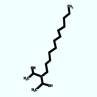 CCCCCCCCCCCCN(C(C)O)C(C)O